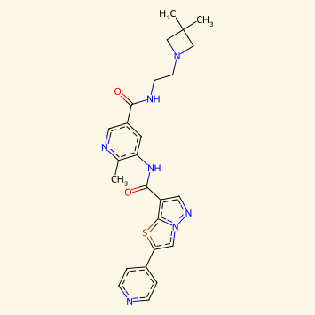 Cc1ncc(C(=O)NCCN2CC(C)(C)C2)cc1NC(=O)c1cnn2cc(-c3ccncc3)sc12